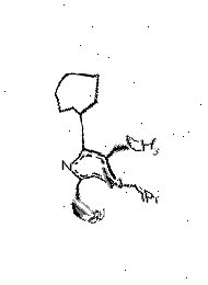 Cc1c(C2CCCCC2)nc(C(C)(C)C)n1C(C)C